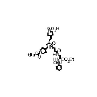 CCOC(=O)C(CNC(=O)CCNC(=O)[C@@H](CCC1CCN(C(=O)O)CC1)CCC1CCN(C(=O)OC(C)(C)C)CC1)NS(=O)(=O)c1ccccc1